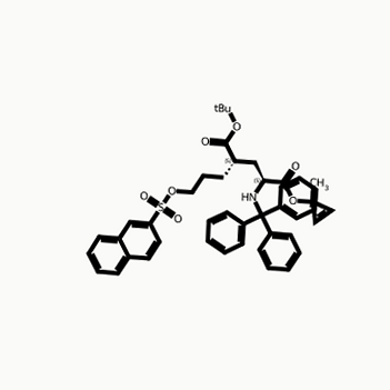 CC(C)(C)OC(=O)[C@@H](CCCOS(=O)(=O)c1ccc2ccccc2c1)C[C@H](NC(c1ccccc1)(c1ccccc1)c1ccccc1)C(=O)OC1(C)C=C1